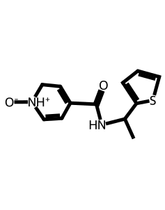 CC(NC(=O)C1=CC[NH+]([O-])C=C1)c1cccs1